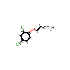 O=C(O)C=COc1ccc(Cl)cc1Cl